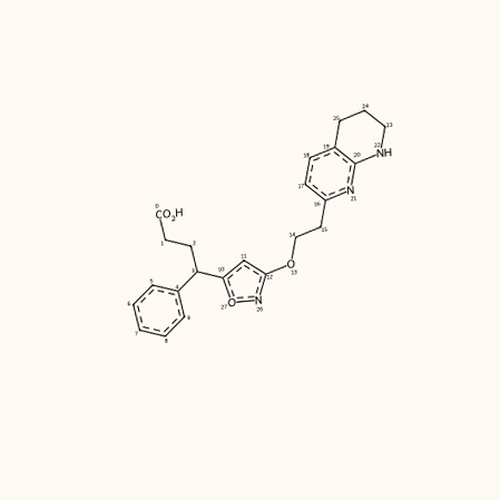 O=C(O)CCC(c1ccccc1)c1cc(OCCc2ccc3c(n2)NCCC3)no1